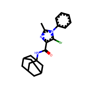 Cc1nc(C(=O)NC23CC4CC(CC(C4)C2)C3)c(Br)n1-c1ccccc1